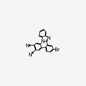 N#Cc1cc2c3ccc(Br)cc3c3nc4ccccc4n3c2cc1C#N